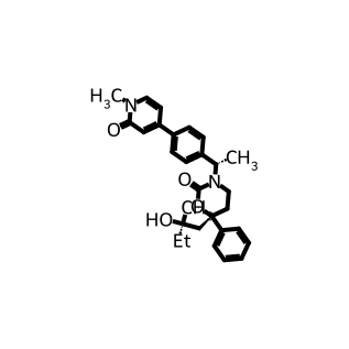 CC[C@@](C)(O)C[C@]1(c2ccccc2)CCN([C@@H](C)c2ccc(-c3ccn(C)c(=O)c3)cc2)C(=O)O1